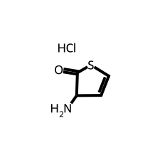 Cl.NC1C=CSC1=O